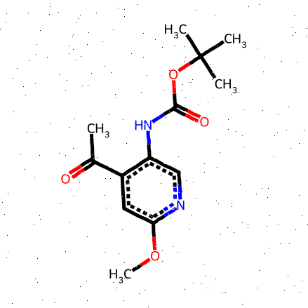 COc1cc(C(C)=O)c(NC(=O)OC(C)(C)C)cn1